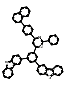 c1ccc(-c2nc(-c3ccc(-c4cccc5ccccc45)cc3)cc(-c3cc(-c4ccc5sc6ccccc6c5c4)cc(-c4ccc5sc6ccccc6c5c4)c3)n2)cc1